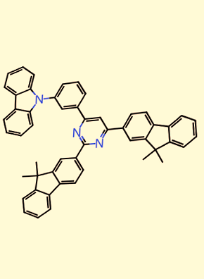 CC1(C)c2ccccc2-c2ccc(-c3cc(-c4cccc(-n5c6ccccc6c6ccccc65)c4)nc(-c4ccc5c(c4)C(C)(C)c4ccccc4-5)n3)cc21